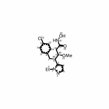 CCn1nccc1[C@@H](Cc1ccc(Cl)cc1)[C@@H](CC(=O)NO)OC